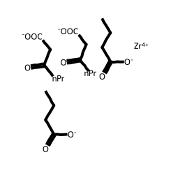 CCCC(=O)CC(=O)[O-].CCCC(=O)CC(=O)[O-].CCCC(=O)[O-].CCCC(=O)[O-].[Zr+4]